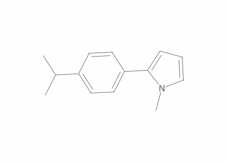 CC(C)c1ccc(-c2cccn2C)cc1